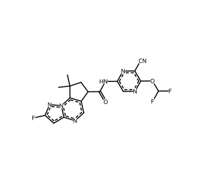 CC1(C)CC(C(=O)Nc2cnc(OC(F)F)c(C#N)n2)c2cnc3cc(F)nn3c21